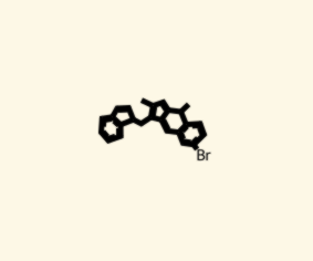 CC1=C(CC2C=Cc3ccccc32)C2=Cc3cc(Br)ccc3C(C)C2=C1